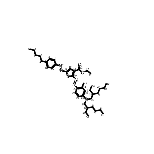 CCCCCc1ccc(N=Nc2cc(C(=O)OCC)c(N=Nc3ccc(N(CC(CC)CCCC)CC(CC)CCCC)cc3C)s2)cc1